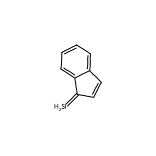 [SiH2]=C1C=Cc2ccccc21